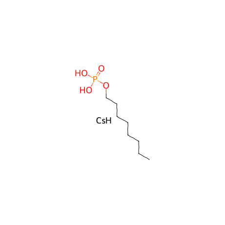 CCCCCCCCOP(=O)(O)O.[CsH]